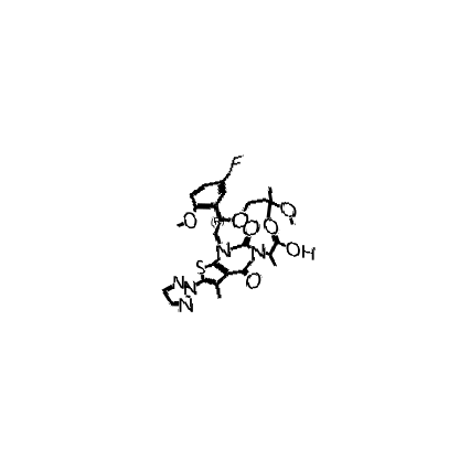 COc1ccc(F)cc1[C@H](Cn1c(=O)n(C(C)C(=O)O)c(=O)c2c(C)c(-n3nccn3)sc21)OCC(C)(C)OC